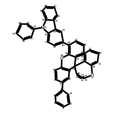 c1ccc(-c2ccc3c(c2)C2(c4ccccc4Oc4ccccc42)c2cccc(-c4ccc5c(c4)c4ccccc4n5-c4ccccc4)c2O3)cc1